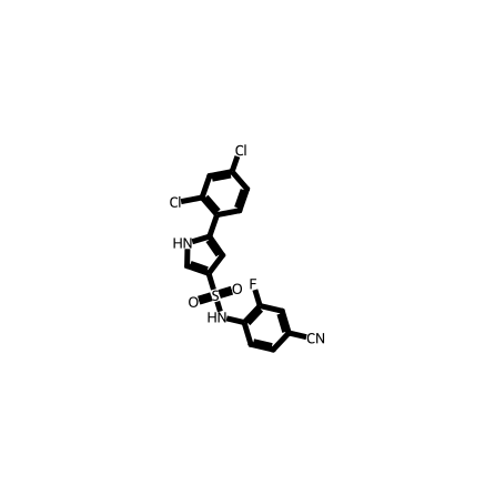 N#Cc1ccc(NS(=O)(=O)c2c[nH]c(-c3ccc(Cl)cc3Cl)c2)c(F)c1